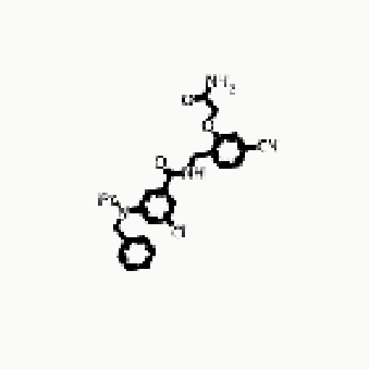 CC(C)N(Cc1ccccc1)c1cc(Cl)cc(C(=O)NCc2ccc(C#N)cc2OCC(N)=O)c1